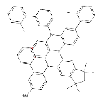 Cc1cc2c3c(c1)N(c1ccc(C(C)(C)C)cc1-c1ccccc1)c1cc4c(cc1B3c1ccc(-c3ccccc3C)cc1N2c1cccc(-c2ccccc2C)c1)C(C)(C)CC4(C)C